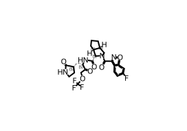 O=C1NCC[C@H]1C[C@H](NC(=O)[C@@H]1[C@H]2CCC[C@H]2CN1C(=O)c1noc2cc(F)ccc12)C(=O)COC(F)(F)F